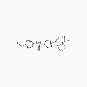 CC(=O)N1CCC[C@@H]1C(=O)N1CCC(C(=O)Nc2ccc(CF)cc2)CC1